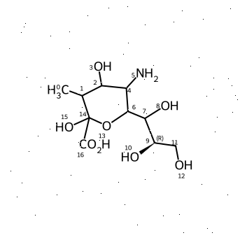 CC1C(O)C(N)C(C(O)[C@H](O)CO)OC1(O)C(=O)O